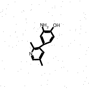 Cc1cnc(C)c(-c2ccc(O)c(N)c2)c1